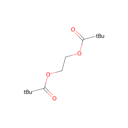 CC(C)(C)C(=O)OCCOC(=O)C(C)(C)C